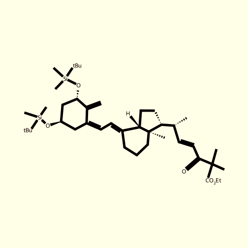 C=C1/C(=C\C=C2/CCC[C@]3(C)[C@@H]([C@H](C)/C=C/C(=O)C(C)(C)C(=O)OCC)CC[C@@H]23)C[C@@H](O[Si](C)(C)C(C)(C)C)C[C@@H]1O[Si](C)(C)C(C)(C)C